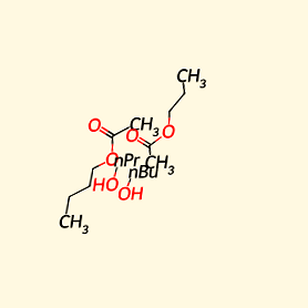 CCCCO.CCCCOC(C)=O.CCCO.CCCOC(C)=O